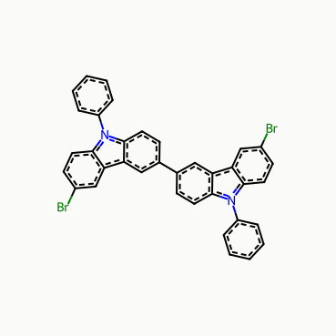 Brc1ccc2c(c1)c1cc(-c3ccc4c(c3)c3cc(Br)ccc3n4-c3ccccc3)ccc1n2-c1ccccc1